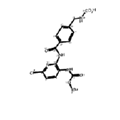 CC(C)(C)OC(=O)Nc1ccc(Cl)nc1NC(=O)c1ccc(CNC(=O)O)cc1